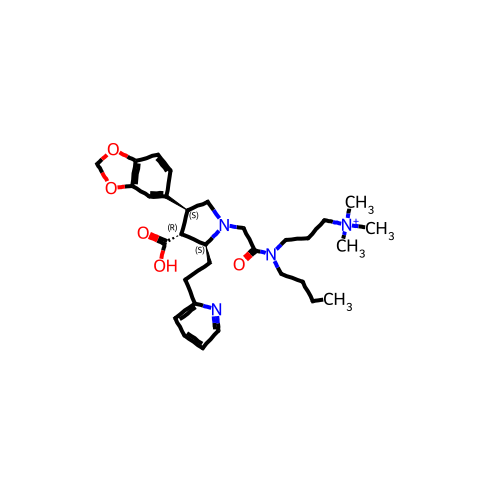 CCCCN(CCC[N+](C)(C)C)C(=O)CN1C[C@H](c2ccc3c(c2)OCO3)[C@@H](C(=O)O)[C@@H]1CCc1ccccn1